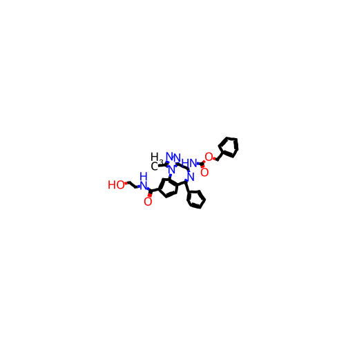 Cc1nnc2n1-c1cc(C(=O)NCCO)ccc1C(c1ccccc1)=NC2NC(=O)OCc1ccccc1